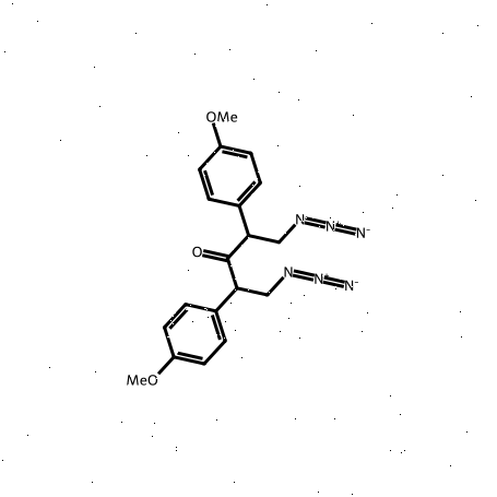 COc1ccc(C(CN=[N+]=[N-])C(=O)C(CN=[N+]=[N-])c2ccc(OC)cc2)cc1